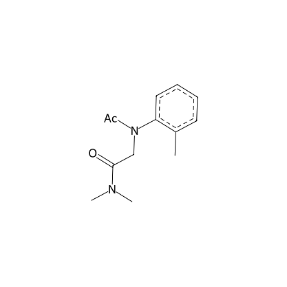 CC(=O)N(CC(=O)N(C)C)c1ccccc1C